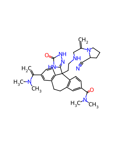 C=C(c1ccc2c(c1)CCc1cc(C(=O)N(C)C)ccc1C2(CCNCC(=C)N1CCCC1C#N)c1n[nH]c(=O)[nH]1)N(C)C